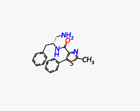 Cc1nc(C(=O)N[C@@H](CN)Cc2ccccc2)c(-c2ccccc2)s1